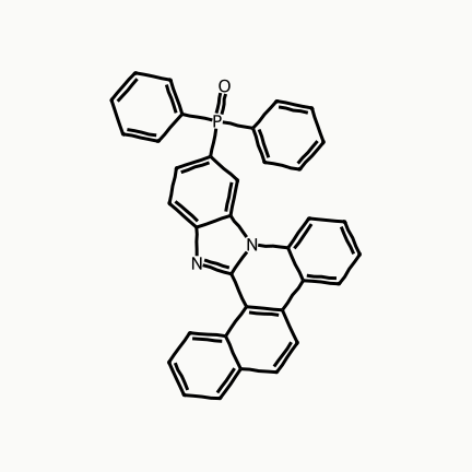 O=P(c1ccccc1)(c1ccccc1)c1ccc2nc3c4c5ccccc5ccc4c4ccccc4n3c2c1